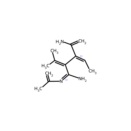 C=C(C)/N=C(/N)C(=C(C)C)/C(=C\C)C(=C)N